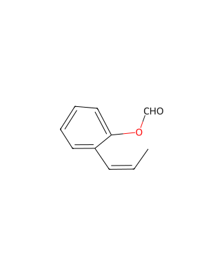 C/C=C\c1ccccc1OC=O